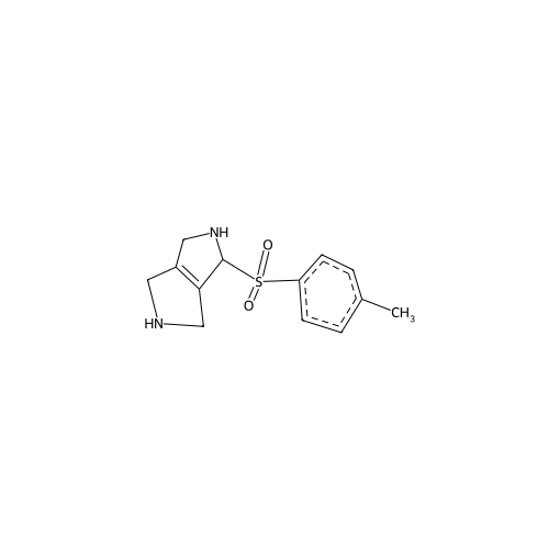 Cc1ccc(S(=O)(=O)C2NCC3=C2CNC3)cc1